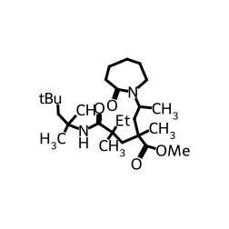 CCC(C)(CC(C)(CC(C)N1CCCCCC1=O)C(=O)OC)C(=O)NC(C)(C)CC(C)(C)C